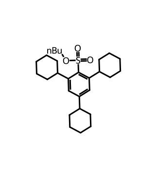 CCCCOS(=O)(=O)c1c(C2CCCCC2)cc(C2CCCCC2)cc1C1CCCCC1